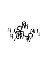 Cc1ccc([N+](=O)[O-])cc1S(=O)(=O)N(C)N=Cc1cnn2ccc(N)cc12